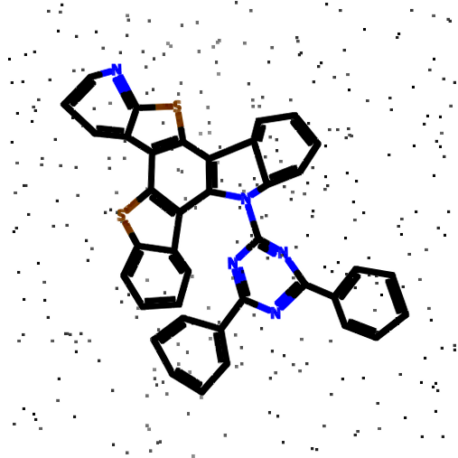 c1ccc(-c2nc(-c3ccccc3)nc(-n3c4ccccc4c4c5sc6ncccc6c5c5sc6ccccc6c5c43)n2)cc1